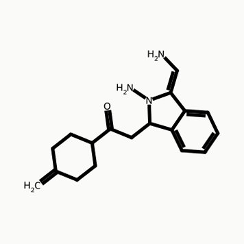 C=C1CCC(C(=O)CC2c3ccccc3/C(=C/N)N2N)CC1